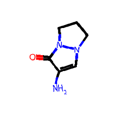 Nc1cn2n(c1=O)CCC2